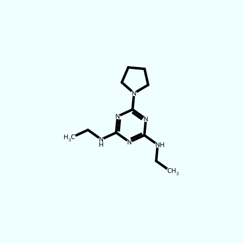 CCNc1nc(NCC)nc(N2CCCC2)n1